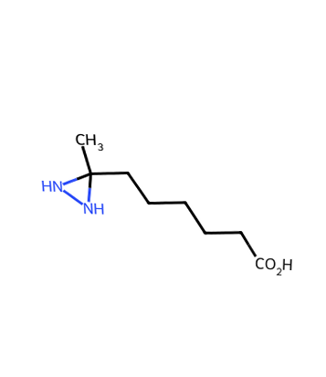 CC1(CCCCCC(=O)O)NN1